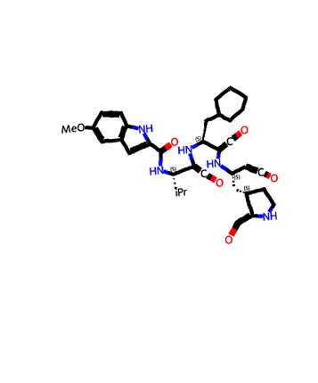 COc1ccc2[nH]c(C(=O)N[C@H](C(=C=O)N[C@@H](CC3CCCCC3)C(=C=O)N[C@H](C=C=O)C[C@@H]3CCNC3=C=O)C(C)C)cc2c1